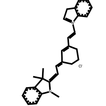 CN1/C(=C/C=C2C=C(/C=C/[N+]3=CCc4ccccc43)CCC/2)C(C)(C)c2ccccc21.[Cl-]